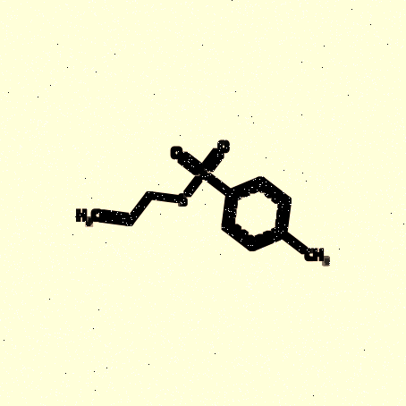 C=CCSS(=O)(=O)c1ccc(C)cc1